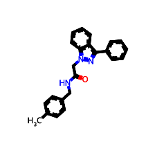 Cc1ccc(CNC(=O)Cn2nc(-c3ccccc3)c3ccccc32)cc1